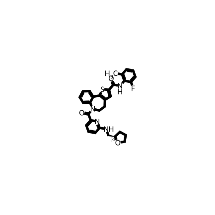 Cc1cccc(F)c1NC(=O)c1cc2c(s1)-c1ccccc1N(C(=O)c1cccc(NC[C@H]3CCCO3)n1)CC2